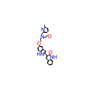 COCCN(CCOc1ccc2[nH]c(-c3cc4ccccc4[nH]c3=O)cc2c1)Cc1cccc(C)n1